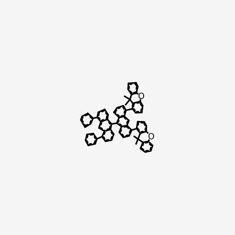 CC1(C)c2ccccc2Oc2cccc(-c3cccc4c(-c5c6cccc(-c7ccccc7)c6cc6c(-c7ccccc7)cccc56)c5cccc(-c6cccc7c6C(C)(C)c6ccccc6O7)c5cc34)c21